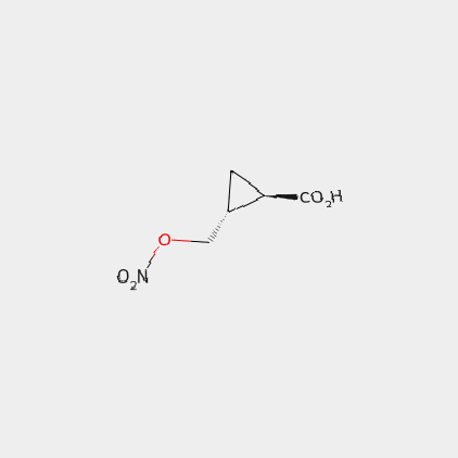 O=C(O)[C@@H]1C[C@H]1CO[N+](=O)[O-]